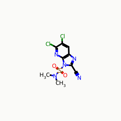 CN(C)S(=O)(=O)n1c(C#N)nc2cc(Cl)c(Cl)nc21